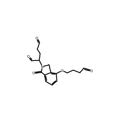 O=CCCCOc1cccc2c1CN(C(C=O)CCC=O)C2=O